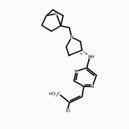 CCC(=Cc1cnc(N[C@@H]2CCN(CC34CCC(CC3)O4)C2)cn1)C(=O)O